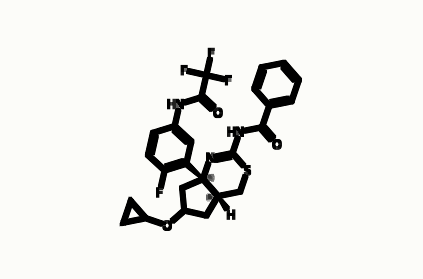 O=C(NC1=N[C@@]2(c3cc(NC(=O)C(F)(F)F)ccc3F)CC(OC3CC3)C[C@H]2CS1)c1ccccc1